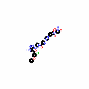 O=C1CCC(N2C(=O)c3ccc(N4CCN(c5ccc(C(=O)N6CCC[C@@H](Nc7ncnc8[nH]cc(C(=O)c9ccc(Oc%10ccccc%10)cc9Cl)c78)C6)cn5)CC4)cc3C2=O)C(=O)N1